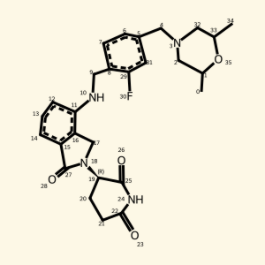 CC1CN(Cc2ccc(CNc3cccc4c3CN([C@@H]3CCC(=O)NC3=O)C4=O)c(F)c2)CC(C)O1